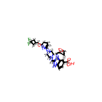 O=C(O)c1ccc2nc(CN3CCN(c4cccc(OCC5CC(F)(F)C5)n4)CC3)n(CC3CCO3)c2c1